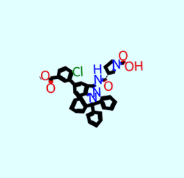 COC(=O)c1ccc(Cl)c(-c2ccc3c(c2)c(NC(=O)[C@@H]2CCN(C(=O)O)C2)nn3C(c2ccccc2)(c2ccccc2)c2ccccc2)c1